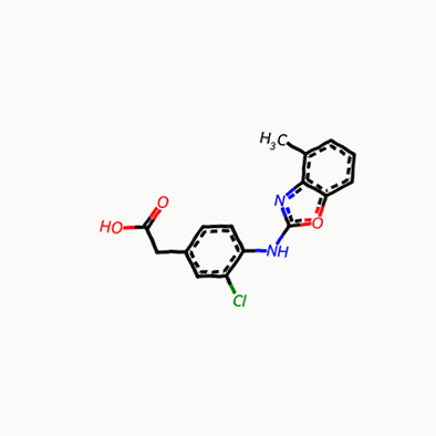 Cc1cccc2oc(Nc3ccc(CC(=O)O)cc3Cl)nc12